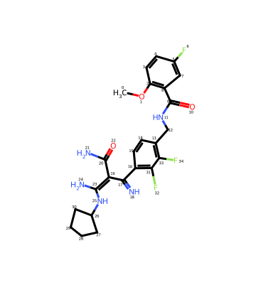 COc1ccc(F)cc1C(=O)NCc1ccc(C(=N)/C(C(N)=O)=C(/N)NC2CCCC2)c(F)c1F